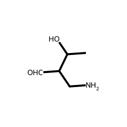 CC(O)C(C=O)CN